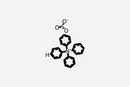 O=S([O-])[O-].[H+].c1ccc([N+](c2ccccc2)(c2ccccc2)c2ccccc2)cc1